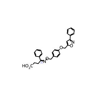 O=C(O)CC/C(=N/OCc1ccc(OCc2cc(-c3ccccc3)no2)cc1)c1ccccc1